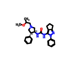 COC(C)CN1C[C@@H](NC(=O)Nc2c3c(nn2-c2ccccc2)CCC3)[C@H](c2ccccc2)C1